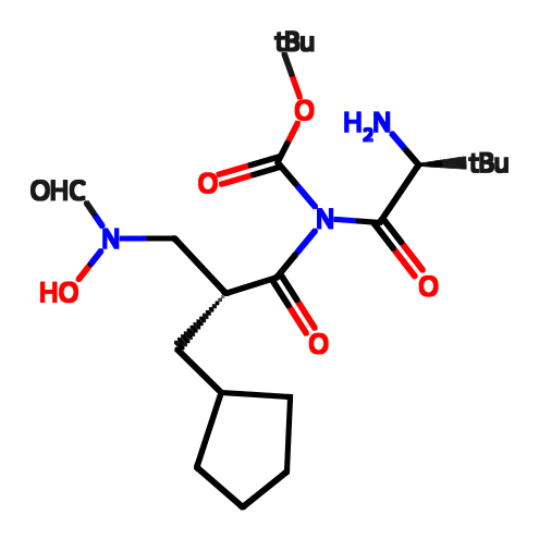 CC(C)(C)OC(=O)N(C(=O)[C@H](CC1CCCC1)CN(O)C=O)C(=O)[C@@H](N)C(C)(C)C